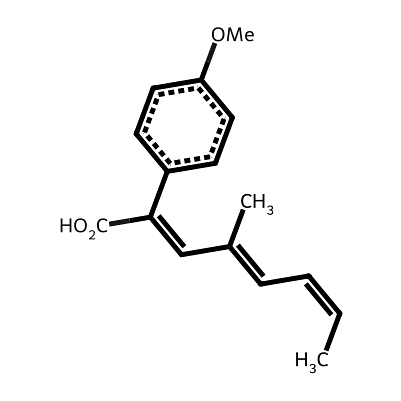 C\C=C/C=C(C)/C=C(/C(=O)O)c1ccc(OC)cc1